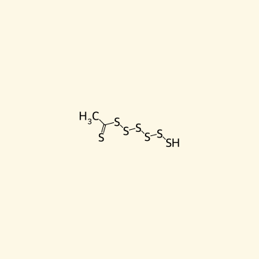 CC(=S)SSSSSS